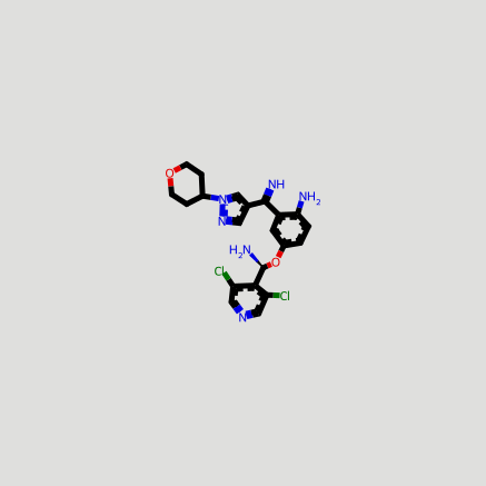 N=C(c1cnn(C2CCOCC2)c1)c1cc(O[C@H](N)c2c(Cl)cncc2Cl)ccc1N